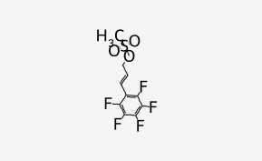 CS(=O)(=O)OCC=Cc1c(F)c(F)c(F)c(F)c1F